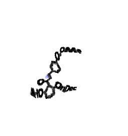 CCCCCCCCCCOc1cccc(O)c1C(=O)/C=C/c1ccc(OCOC)cc1